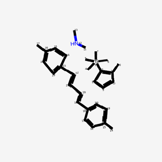 CC1=[C]([Ti]([CH3])([CH3])([CH3])[CH3])CC=C1.CNC.Cc1ccc(C=CC=Cc2ccc(C)cc2)cc1